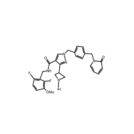 COc1ccc(F)c(CNC(=O)c2cn(Cc3ccc(Cn4ccccc4=O)cc3)nc2C2CN(C(C)=O)C2)c1F